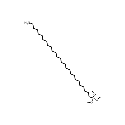 CO[Si](CCCCCCCCCCCCCCCCCCCCCCCCCCN)(OC)OC